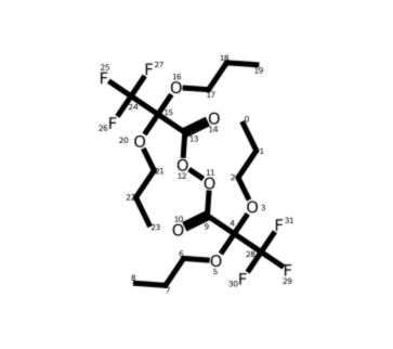 CCCOC(OCCC)(C(=O)OOC(=O)C(OCCC)(OCCC)C(F)(F)F)C(F)(F)F